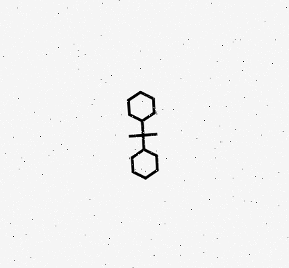 CC(C)(C1[C]CCCC1)C1[C]CCCC1